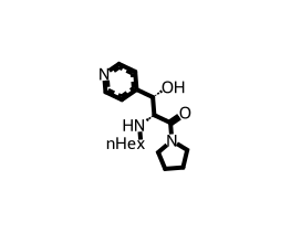 CCCCCCN[C@@H](C(=O)N1CCCC1)[C@@H](O)c1ccncc1